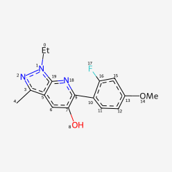 CCn1nc(C)c2cc(O)c(-c3ccc(OC)cc3F)nc21